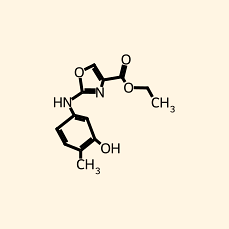 CCOC(=O)c1coc(Nc2ccc(C)c(O)c2)n1